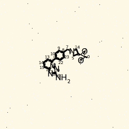 CS(=O)(=O)C1CN(Cc2ccc(-c3cccc4nc(N)nn34)cc2)C1